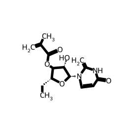 C=C(C)C(=O)OC1[C@@H](CC)O[C@@H](N2C=CC(=O)NC2=C)[C@H]1O